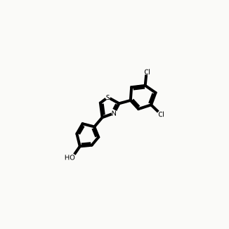 Oc1ccc(-c2csc(-c3cc(Cl)cc(Cl)c3)n2)cc1